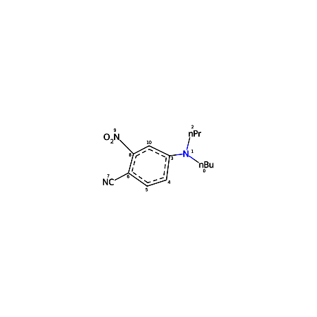 CCCCN(CCC)c1ccc(C#N)c([N+](=O)[O-])c1